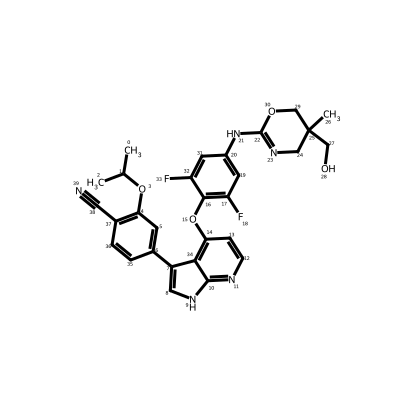 CC(C)Oc1cc(-c2c[nH]c3nccc(Oc4c(F)cc(NC5=NCC(C)(CO)CO5)cc4F)c23)ccc1C#N